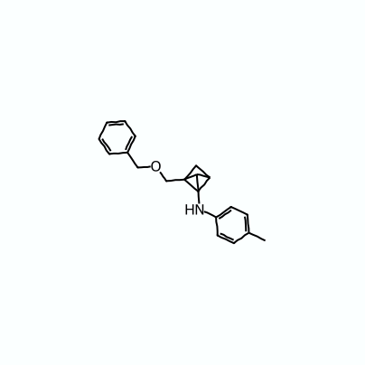 Cc1ccc(NC2C3CC2(COCc2ccccc2)C3)cc1